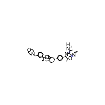 C=C/N=C1/OC(C)C(c2ccc([C@H]3CC[C@H](CP(=C)(C#N)c4cccc(CN5CCOCC5)c4)CC3)cc2)=N/C1=C(/C)N